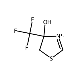 OC1(C(F)(F)F)CSC=[N+]1